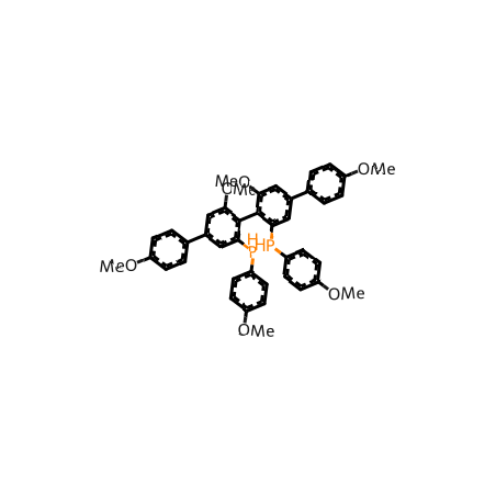 COc1ccc(Pc2cc(-c3ccc(OC)cc3)cc(OC)c2-c2c(OC)cc(-c3ccc(OC)cc3)cc2Pc2ccc(OC)cc2)cc1